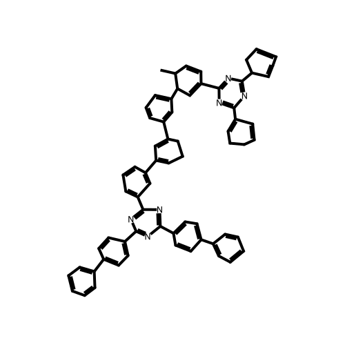 CC1C=CC(c2nc(C3=CCCC=C3)nc(C3C=CC=CC3)n2)=CC1c1cccc(C2=CC(c3cccc(-c4nc(-c5ccc(-c6ccccc6)cc5)nc(-c5ccc(-c6ccccc6)cc5)n4)c3)=CCC2)c1